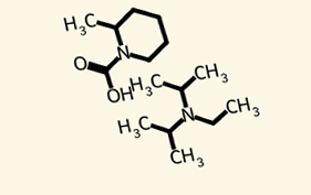 CC1CCCCN1C(=O)O.CCN(C(C)C)C(C)C